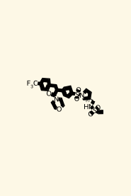 C=CS(=O)(=O)NC[C@H]1CCN(S(=O)(=O)c2ccc(C(Cc3ccc(C(F)(F)F)cc3)C(=O)N3CCOCC3)cc2)C1